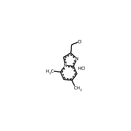 Cc1cc(C)n2cc(CCl)nc2c1.Cl